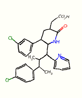 CC(c1ccc(Cl)cc1)C(C)C(c1ccccn1)C1NC(=O)C(CC(=O)O)CC1c1cccc(Cl)c1